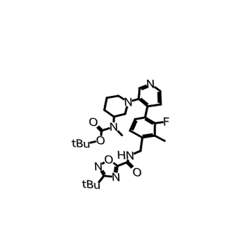 Cc1c(CNC(=O)c2nc(C(C)(C)C)no2)ccc(-c2ccncc2N2CCCC(N(C)C(=O)OC(C)(C)C)C2)c1F